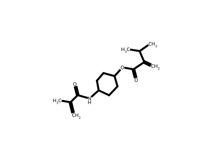 C=C(C)C(=O)NC1CCC(OC(=O)C(=C)C(C)C)CC1